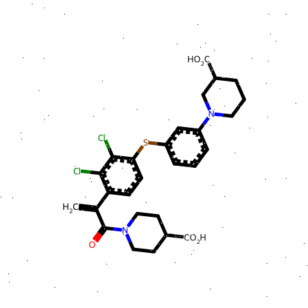 C=C(C(=O)N1CCC(C(=O)O)CC1)c1ccc(Sc2cccc(N3CCCC(C(=O)O)C3)c2)c(Cl)c1Cl